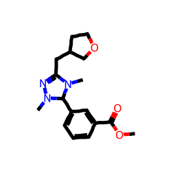 COC(=O)c1cccc(C2N(C)N=C(CC3CCOC3)N2C)c1